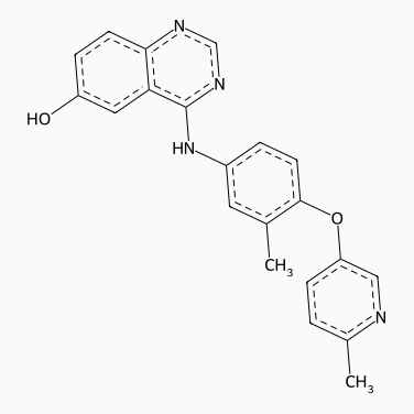 Cc1ccc(Oc2ccc(Nc3ncnc4ccc(O)cc34)cc2C)cn1